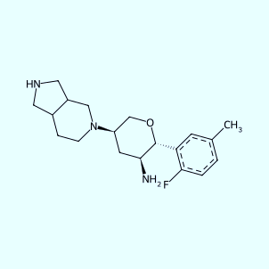 Cc1ccc(F)c([C@H]2OC[C@H](N3CCC4CNCC4C3)C[C@@H]2N)c1